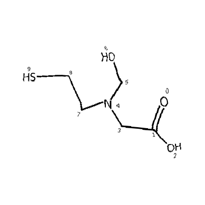 O=C(O)CN(CO)CCS